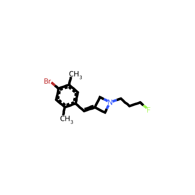 Cc1cc(C=C2CN(CCCF)C2)c(C)cc1Br